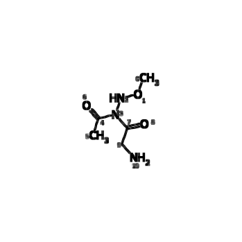 CONN(C(C)=O)C(=O)CN